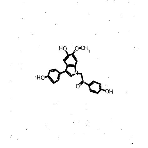 COc1cc2c(cc1O)c(-c1ccc(O)cc1)cn2CC(=O)c1ccc(O)cc1